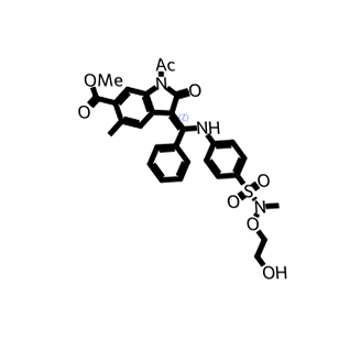 COC(=O)c1cc2c(cc1C)/C(=C(/Nc1ccc(S(=O)(=O)N(C)OCCO)cc1)c1ccccc1)C(=O)N2C(C)=O